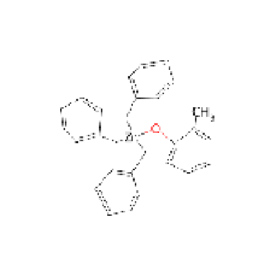 Cc1ccccc1[O][Zr]([CH2]c1ccccc1)([CH2]c1ccccc1)[CH2]c1ccccc1